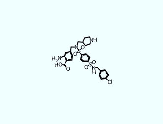 Nc1cc(CN(CC2CCNCC2)S(=O)(=O)c2ccc(S(=O)(=O)NCc3ccc(Cl)cc3)cc2)ccc1C(=O)O